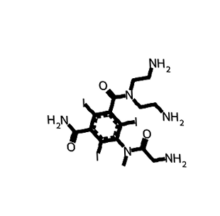 CN(C(=O)CN)c1c(I)c(C(N)=O)c(I)c(C(=O)N(CCN)CCN)c1I